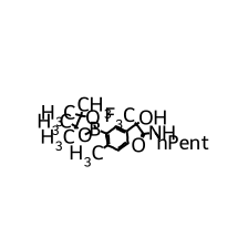 CCCCCNC(=O)C(O)(c1ccc(C)c(B2OC(C)(C)C(C)(C)O2)c1)C(F)(F)F